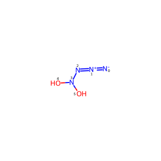 [N-]=[N+]=NN(O)O